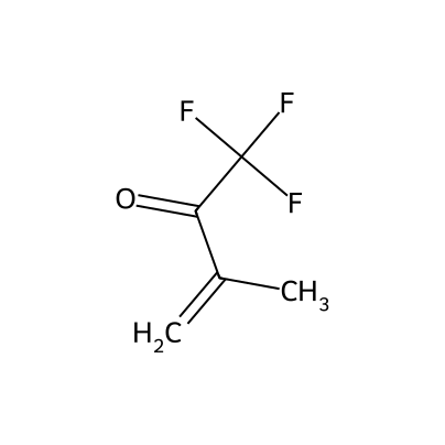 C=C(C)C(=O)C(F)(F)F